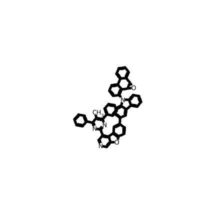 Cc1c(-c2ccccc2)nc(-c2cncc3oc4ccc(-c5ccc6c(c5)c5ccccc5n6-c5cccc6c5C5OC5c5ccccc5-6)cc4c23)nc1-c1ccccc1